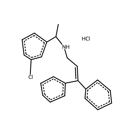 CC(NCC=C(c1ccccc1)c1ccccc1)c1cccc(Cl)c1.Cl